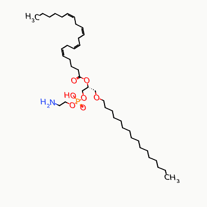 CCCCC/C=C\C/C=C\C/C=C\C/C=C\CCCC(=O)O[C@H](COCCCCCCCCCCCCCCCC)COP(=O)(O)OCCN